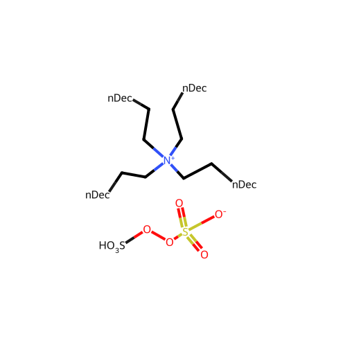 CCCCCCCCCCCC[N+](CCCCCCCCCCCC)(CCCCCCCCCCCC)CCCCCCCCCCCC.O=S(=O)([O-])OOS(=O)(=O)O